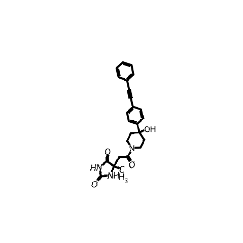 CC1(CC(=O)N2CCC(O)(c3ccc(C#Cc4ccccc4)cc3)CC2)NC(=O)NC1=O